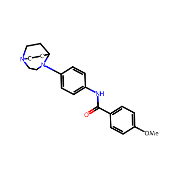 COc1ccc(C(=O)Nc2ccc(N3CCN4CCC3CC4)cc2)cc1